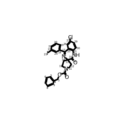 O=C(OCc1ccccc1)N1CCC2(CC1)N=C(c1cccc(I)c1)c1cc(Cl)ccc1NC2=O